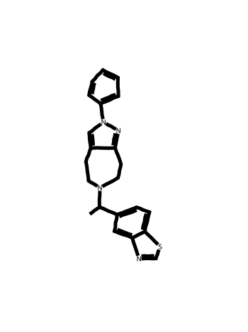 CC(c1ccc2scnc2c1)N1CCc2cn(-c3ccccc3)nc2CC1